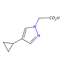 O=C(O)Cn1cc(C2CC2)cn1